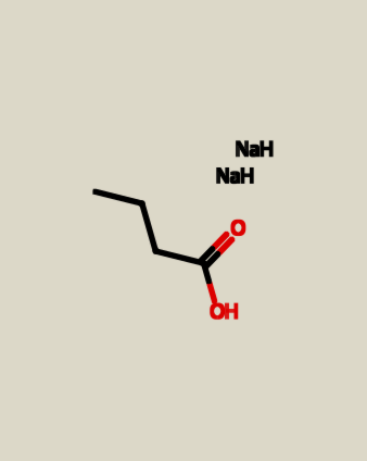 CCCC(=O)O.[NaH].[NaH]